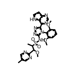 COc1cccc(OC)c1-n1c(NS(=O)(=O)C(C)C(OC)c2ncc(C)cn2)nnc1-c1ncnc2cc[nH]c12